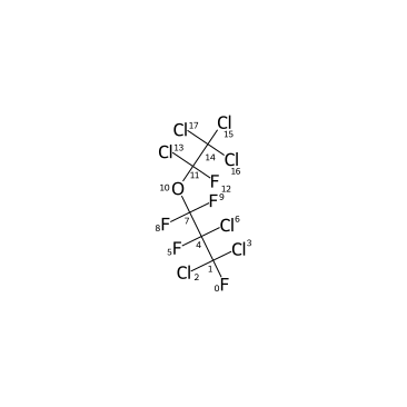 FC(Cl)(Cl)C(F)(Cl)C(F)(F)OC(F)(Cl)C(Cl)(Cl)Cl